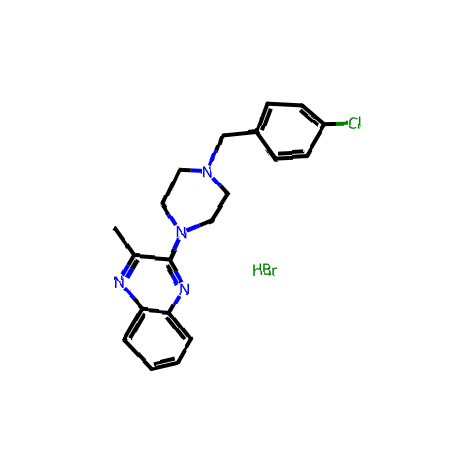 Br.Cc1nc2ccccc2nc1N1CCN(Cc2ccc(Cl)cc2)CC1